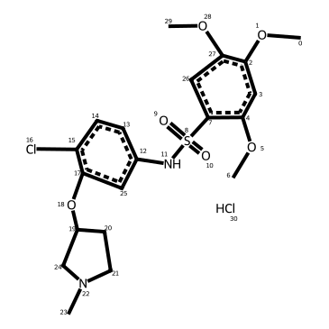 COc1cc(OC)c(S(=O)(=O)Nc2ccc(Cl)c(OC3CCN(C)C3)c2)cc1OC.Cl